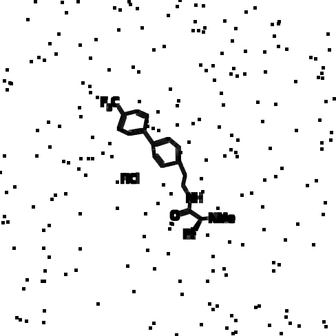 CC[C@H](NC)C(=O)NCCc1ccc(-c2ccc(C(F)(F)F)cc2)cc1.Cl